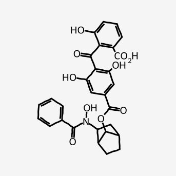 O=C(OC1C2CCC1C(N(O)C(=O)c1ccccc1)C2)c1cc(O)c(C(=O)c2c(O)cccc2C(=O)O)c(O)c1